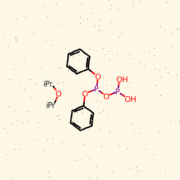 CC(C)OC(C)C.OP(O)OP(Oc1ccccc1)Oc1ccccc1